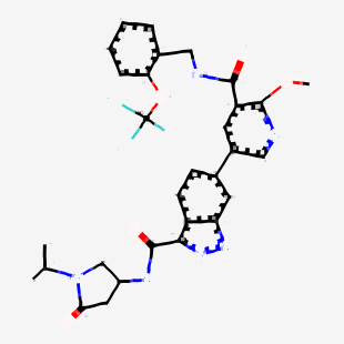 COc1ncc(-c2ccc3c(C(=O)NC4CC(=O)N(C(C)C)C4)n[nH]c3c2)cc1C(=O)NCc1ccccc1OC(F)(F)F